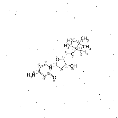 CC(C)(C)[Si](C)(C)OC[C@H]1O[C@@H](n2cnc(N)nc2=O)CC1O